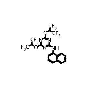 FC(F)(F)C(Oc1nc(Nc2cccc3ccccc23)nc(OC(C(F)(F)F)C(F)(F)F)n1)C(F)(F)F